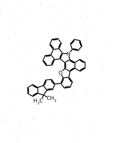 CC1(C)c2ccccc2-c2ccc(-c3cccc4c3oc3c4c4ccccc4c4c3c3c5ccccc5c5ccccc5c3n4-c3ccccc3)cc21